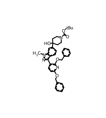 Cn1nc(-c2ccc(OCc3ccccc3)nc2OCc2ccccc2)c2ccc(C3(O)CCN(C(=O)OC(C)(C)C)CC3)cc21